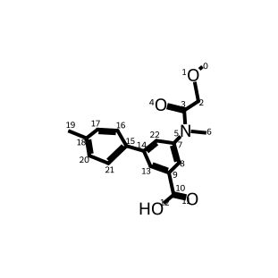 COCC(=O)N(C)c1cc(C(=O)O)cc(-c2ccc(C)cc2)c1